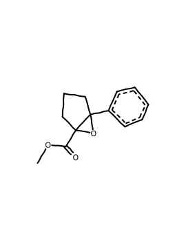 COC(=O)C12CCCC1(c1ccccc1)O2